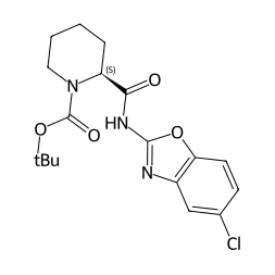 CC(C)(C)OC(=O)N1CCCC[C@H]1C(=O)Nc1nc2cc(Cl)ccc2o1